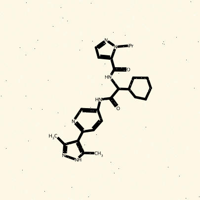 Cc1n[nH]c(C)c1-c1ccc(NC(=O)C(NC(=O)c2ccnn2C(C)C)C2CCCCC2)cn1